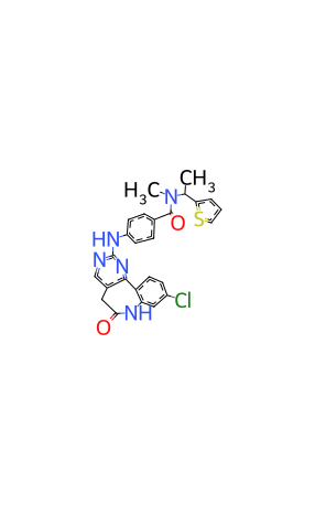 CC(c1cccs1)N(C)C(=O)c1ccc(Nc2ncc3c(n2)-c2ccc(Cl)cc2NC(=O)C3)cc1